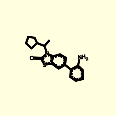 CC(C1CCCC1)n1c(=O)sc2cc(-c3ccccc3N)ccc21